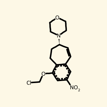 O=[N+]([O-])c1cc2c(c(OCCl)c1)CC[C@H](N1CCOCC1)C=C2